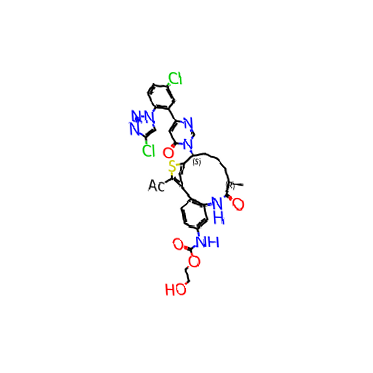 CC(=O)c1sc2cc1-c1ccc(NC(=O)OCCO)cc1NC(=O)[C@H](C)CCC[C@@H]2n1cnc(-c2cc(Cl)ccc2-n2cc(Cl)nn2)cc1=O